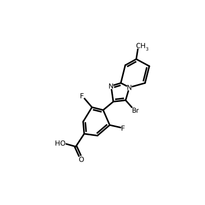 Cc1ccn2c(Br)c(-c3c(F)cc(C(=O)O)cc3F)nc2c1